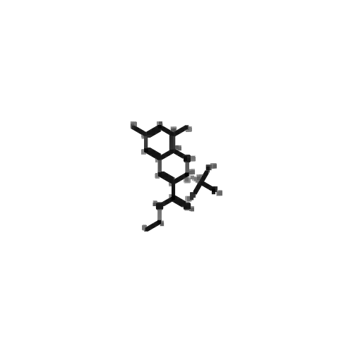 CCOC(=O)C1=Cc2cc(C)cc(C)c2O[C@@H]1C(F)(F)F